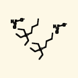 CCCC[N+](CC)(CC)CC.CCCC[N+](CC)(CC)CC.O=[PH2][O-].O=[PH2][O-]